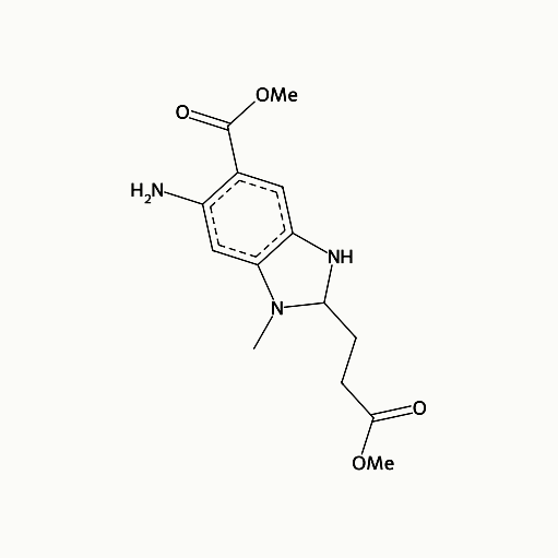 COC(=O)CCC1Nc2cc(C(=O)OC)c(N)cc2N1C